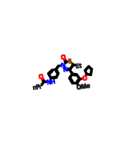 CCCC(=O)Nc1ccc(CN2N=C(c3ccc(OC)c(OC4CCCC4)c3)C(CC)SC2=O)cc1